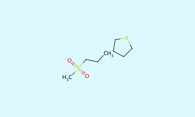 C1CCSC1.CCCS(C)(=O)=O